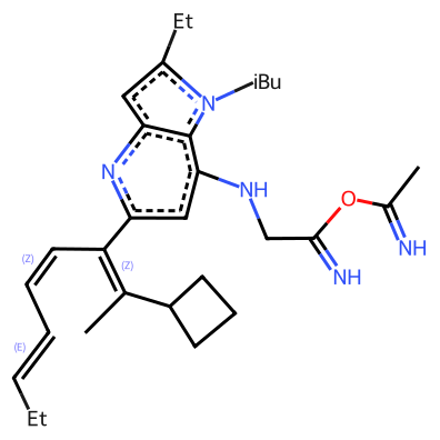 CC/C=C/C=C\C(=C(/C)C1CCC1)c1cc(NCC(=N)OC(C)=N)c2c(cc(CC)n2C(C)CC)n1